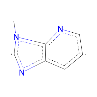 Cn1[c]nc2c[c]cnc21